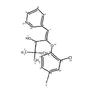 CC(C)(C)C(O)/C(=C\c1cccnc1)Oc1ccc(F)cc1Cl